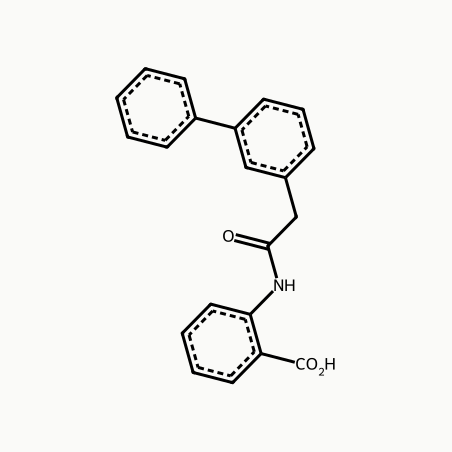 O=C(Cc1cccc(-c2ccccc2)c1)Nc1ccccc1C(=O)O